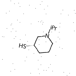 CC(C)N1CCC[C@H](S)C1